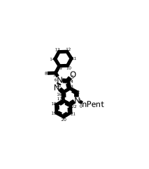 CCCCCn1cc2c(=O)n(C(C)C3CCCCC3)nc-2c2ccccc21